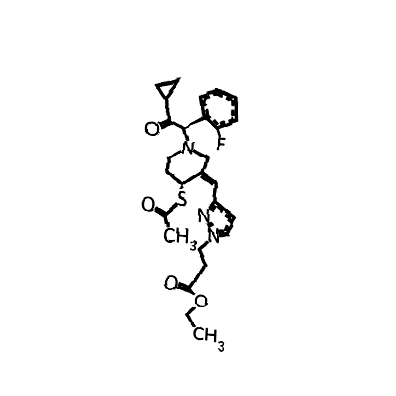 CCOC(=O)CCn1ccc(/C=C2/CN([C@@H](C(=O)C3CC3)c3ccccc3F)CC[C@H]2SC(C)=O)n1